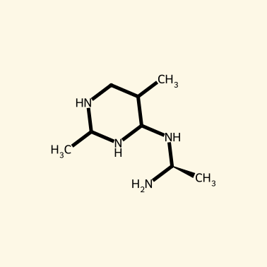 CC1NCC(C)C(N[C@@H](C)N)N1